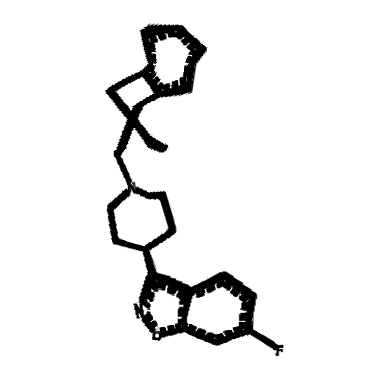 CC1(CN2CCC(c3noc4cc(F)ccc34)CC2)Cc2ccccc21